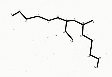 CCCCCCC([CH]C(C)CCCCC)CC